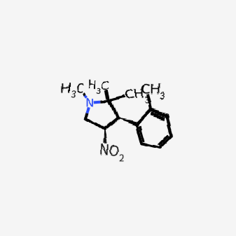 Cc1ccccc1[C@H]1[C@@H]([N+](=O)[O-])CN(C)C1(C)C